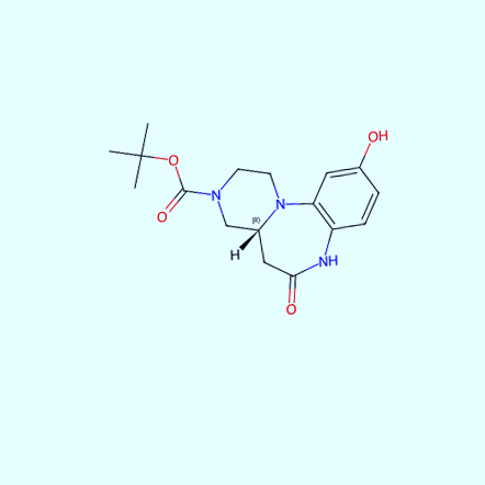 CC(C)(C)OC(=O)N1CCN2c3cc(O)ccc3NC(=O)C[C@@H]2C1